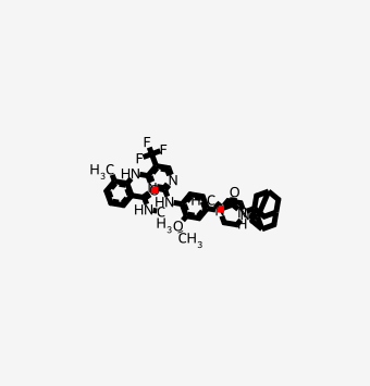 C=CC(=O)NC12CC3CC(C1)C(N1CCN(c4ccc(Nc5ncc(C(F)(F)F)c(Nc6c(C)cccc6C(=O)NC)n5)c(OC)c4)CC1)C(C3)C2